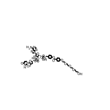 Nc1ncnc2c1ncn2[C@@H]1O[C@H](COP(=O)(O)SCc2ccc(OC(=O)c3ccc(OCCOCCOCCOCCCO)cc3)cc2)[C@@H](OP(=O)(O)OC[C@@H]2C[C@@H](F)[C@H](n3ccc(=O)[nH]c3=O)O2)[C@H]1F